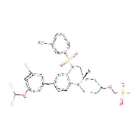 CS(=O)(=O)COC1CCN2c3ccc(-c4cc(F)cc(OC(F)F)c4)cc3N(S(=O)(=O)c3cccc(C(F)(F)F)c3)C[C@@H]2C1